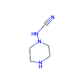 N#CNN1CCNCC1